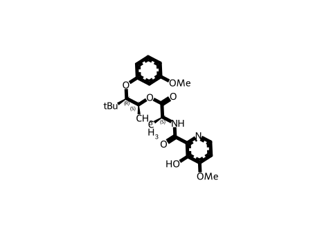 COc1cccc(O[C@@H]([C@H](C)OC(=O)[C@H](C)NC(=O)c2nccc(OC)c2O)C(C)(C)C)c1